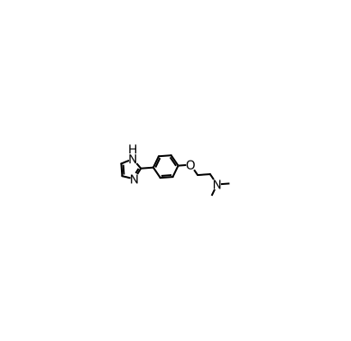 CN(C)CCOc1ccc(-c2ncc[nH]2)cc1